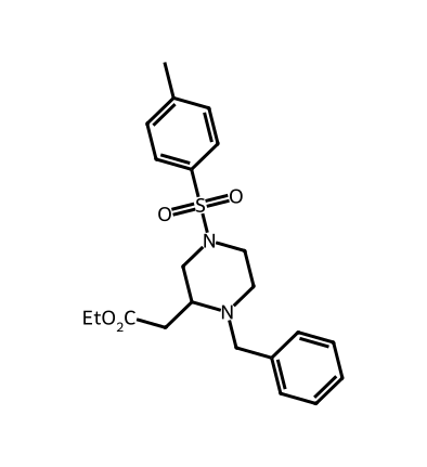 CCOC(=O)CC1CN(S(=O)(=O)c2ccc(C)cc2)CCN1Cc1ccccc1